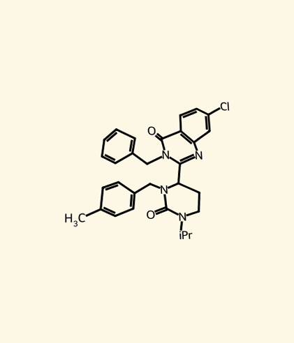 Cc1ccc(CN2C(=O)N(C(C)C)CCC2c2nc3cc(Cl)ccc3c(=O)n2Cc2ccccc2)cc1